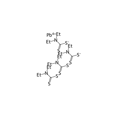 CCN(CC)C(=S)[S-].CCN(CC)C(=S)[S-].CCN(CC)C(=S)[S-].CCN(CC)C(=S)[S-].[Pb+4]